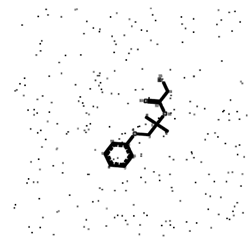 CC(C)(COc1ccccc1)OC(=O)CBr